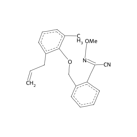 C=CCc1cccc(C)c1OCc1ccccc1C(C#N)=NOC